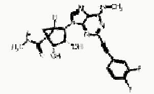 CNC(=O)[C@@]12C[C@@H]1[C@@H](n1cnc3c(NC)nc(C#Cc4ccc(F)c(F)c4)nc31)[C@H](O)[C@@H]2O